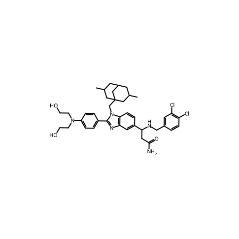 CC1CC2CC(C)CC(Cn3c(-c4ccc(N(CCO)CCO)cc4)nc4cc(C(CC(N)=O)NCc5ccc(Cl)c(Cl)c5)ccc43)(C1)C2